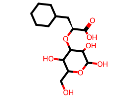 O=C(O)[C@H](CC1CCCCC1)OC1C(O)C(O)OC(CO)C1O